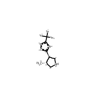 [2H]C([2H])([2H])c1noc([C@H]2CNC[C@@H]2C)n1